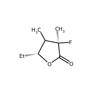 CC[C@H]1OC(=O)[C@](C)(F)C1C